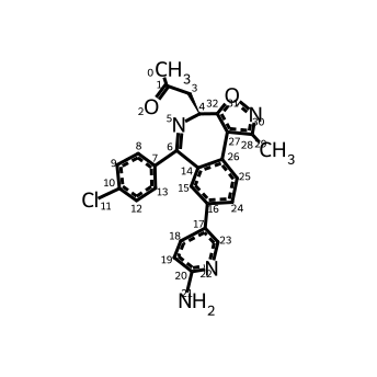 CC(=O)C[C@@H]1N=C(c2ccc(Cl)cc2)c2cc(-c3ccc(N)nc3)ccc2-c2c(C)noc21